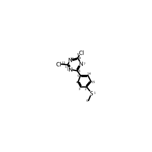 CSc1ccc(-c2nc(Cl)nc(Cl)n2)cc1